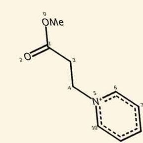 COC(=O)CC[n+]1ccccc1